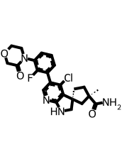 C[C@@]1(C(N)=O)CC[C@@]2(CNc3ncc(-c4cccc(N5CCOCC5=O)c4F)c(Cl)c32)C1